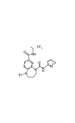 CCN1CCCN(C(=O)Nc2ccon2)c2nc(C(=O)N[C@H](C)C(F)(F)F)ccc21